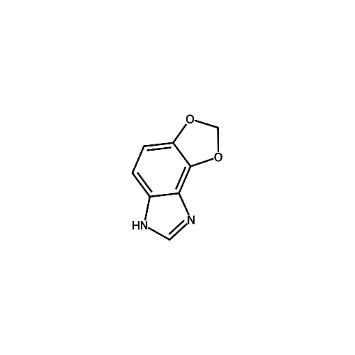 c1nc2c3c(ccc2[nH]1)OCO3